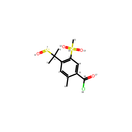 Cc1cc(C(C)(C)[S+]=O)c(S(C)(=O)=O)cc1C(=O)Cl